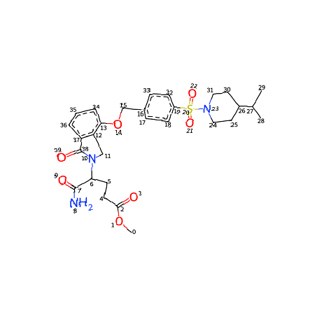 COC(=O)CCC(C(N)=O)N1Cc2c(OCc3ccc(S(=O)(=O)N4CCC(C(C)C)CC4)cc3)cccc2C1=O